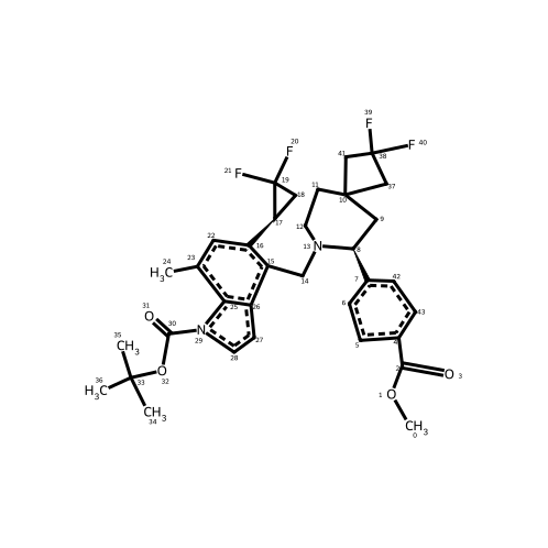 COC(=O)c1ccc([C@@H]2CC3(CCN2Cc2c([C@@H]4CC4(F)F)cc(C)c4c2ccn4C(=O)OC(C)(C)C)CC(F)(F)C3)cc1